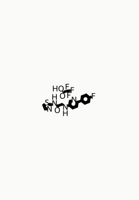 O=C(CNc1ccc(-c2ccc(F)cc2)nc1)Nc1nccs1.O=C(O)C(F)(F)F